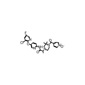 CC(C(=O)Nc1ccc(Oc2ncc(F)cc2Cl)cn1)N1CCN(C(=O)c2cc[n+]([O-])cc2)C(C)(C)C1